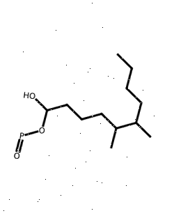 CCCCC(C)C(C)CCCC(O)OP=O